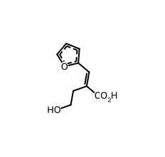 O=C(O)C(=Cc1ccco1)CCO